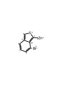 [Br-].[Zn+][c]1scc2ccccc12